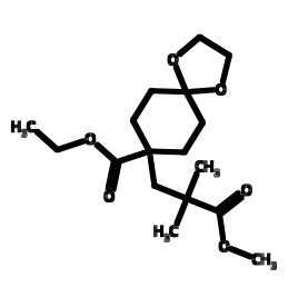 CCOC(=O)C1(CC(C)(C)C(=O)OC)CCC2(CC1)OCCO2